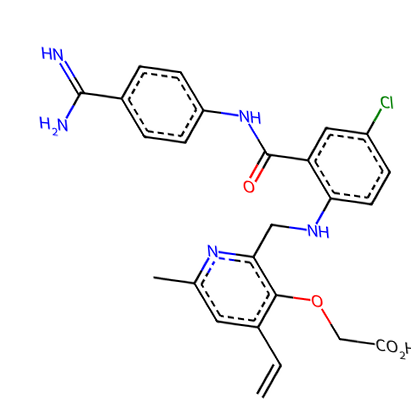 C=Cc1cc(C)nc(CNc2ccc(Cl)cc2C(=O)Nc2ccc(C(=N)N)cc2)c1OCC(=O)O